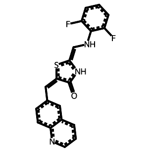 O=c1[nH]c(=CNc2c(F)cccc2F)sc1=Cc1ccc2ncccc2c1